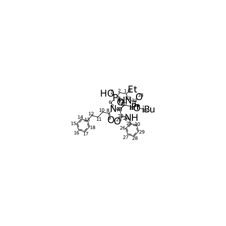 CCC(CP(=O)(O)CN(C(=O)CCCc1ccccc1)[C@@H](CC(C)C)C(=O)Nc1ccccc1)NC(=O)OC(C)CC